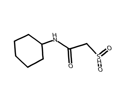 O=C(C[SH](=O)=O)NC1CCCCC1